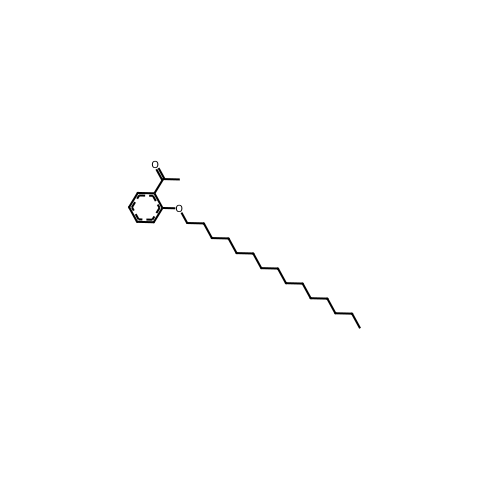 CCCCCCCCCCCCCCCOc1ccccc1C(C)=O